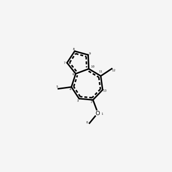 COc1cc(C)c2cccc-2c(C)c1